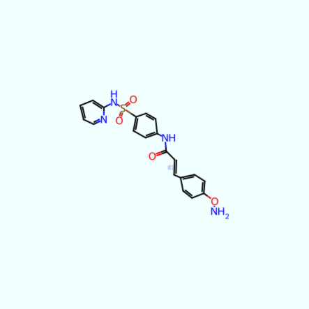 NOc1ccc(/C=C/C(=O)Nc2ccc(S(=O)(=O)Nc3ccccn3)cc2)cc1